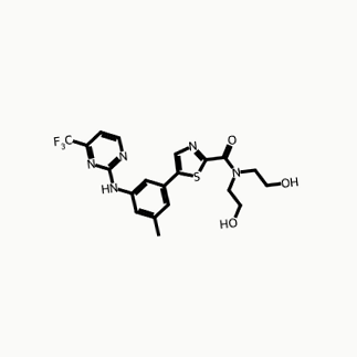 Cc1cc(Nc2nccc(C(F)(F)F)n2)cc(-c2cnc(C(=O)N(CCO)CCO)s2)c1